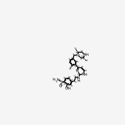 C[C@H]1CN(Cc2ccc(F)c(C3=NC(NCCc4ccc([S+](N)[O-])c(O)c4)NC=C3)c2)[C@@H](C)CN1